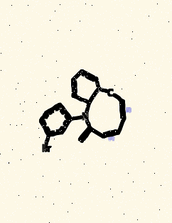 C=C1/C=C\C=C/CC2C=CC=CC2N1c1cccc(Br)c1